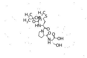 CSCC[C@H](NC(=O)OC(C)(C)C)C(=O)N1CCC[C@H]1C(=O)N[C@@H](CO)C(=O)O